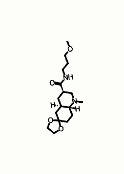 COCCCNC(=O)[C@@H]1C[C@@H]2CC3(CC[C@H]2N(C)C1)OCCO3